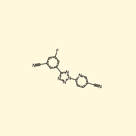 N#Cc1ccc(-n2nnc(-c3cc(F)cc(C#N)c3)n2)nc1